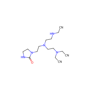 N#CCNCCN(CCN(CC#N)CC#N)CCN1CCNC1=O